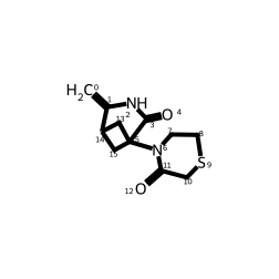 C=C1NC(=O)C2(N3CCSCC3=O)CC1C2